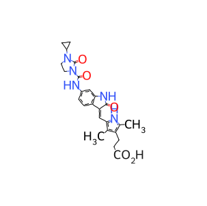 Cc1[nH]c(C=C2C(=O)Nc3cc(NC(=O)N4CCN(C5CC5)C4=O)ccc32)c(C)c1CCC(=O)O